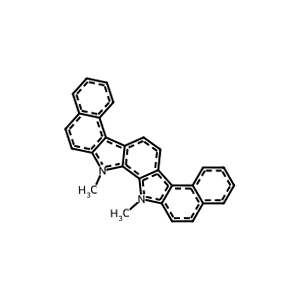 Cn1c2ccc3ccccc3c2c2ccc3c4c5ccccc5ccc4n(C)c3c21